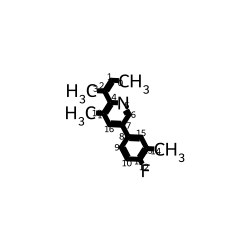 C/C=C(/C)c1ncc(-c2ccc(F)c(C)c2)cc1C